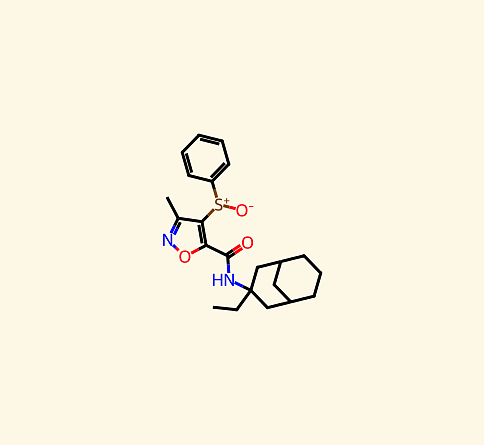 CCC1(NC(=O)c2onc(C)c2[S+]([O-])c2ccccc2)CC2CCCC(C2)C1